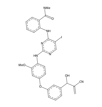 C=C(C#N)C(O)c1cccc(Oc2ccc(Nc3ncc(I)c(Nc4ccccc4C(=O)NC)n3)c(OC)c2)c1